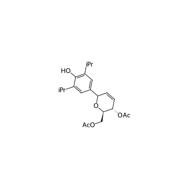 CC(=O)OC[C@H]1OC(c2cc(C(C)C)c(O)c(C(C)C)c2)C=C[C@@H]1OC(C)=O